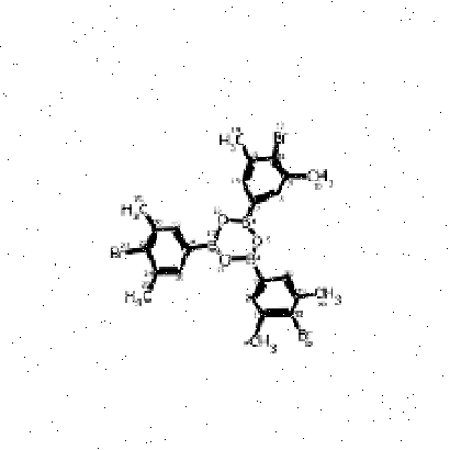 Cc1cc(B2OB(c3cc(C)c(Br)c(C)c3)OB(c3cc(C)c(Br)c(C)c3)O2)cc(C)c1Br